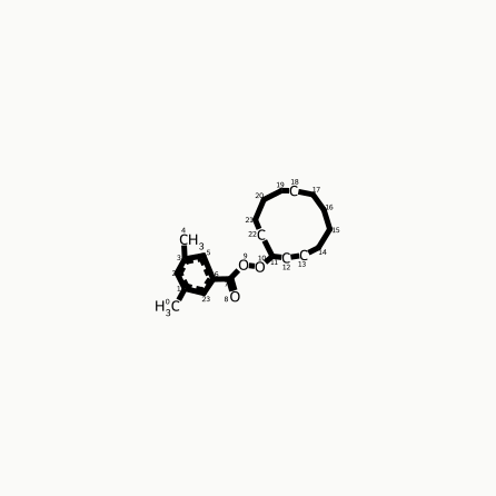 Cc1cc(C)cc(C(=O)OO[C]2CCCCCCCCCCC2)c1